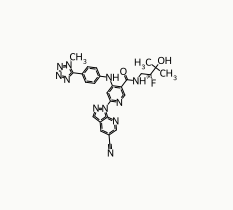 Cn1nnnc1-c1ccc(Nc2cc(-n3ncc4cc(C#N)cnc43)ncc2C(=O)NC[C@@H](F)C(C)(C)O)cc1